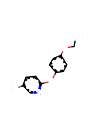 CCOc1ccc(Oc2ccc(Br)cn2)cc1